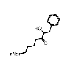 CCCCCCCCCCCCCC(=O)C(O)Cc1ccccc1